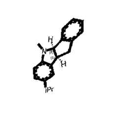 CC(C)c1ccc2c(c1)[C@@H]1Cc3ccccc3[C@@H]1N2C